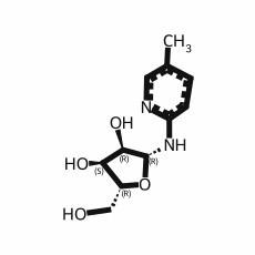 Cc1ccc(N[C@@H]2O[C@H](CO)[C@@H](O)[C@H]2O)nc1